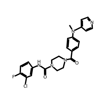 CN(c1ccncc1)c1ccc(C(=O)N2CCN(C(=O)Nc3ccc(F)c(Cl)c3)CC2)cc1